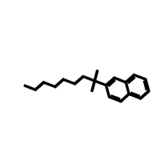 CCCCCCCC(C)(C)c1ccc2ccccc2c1